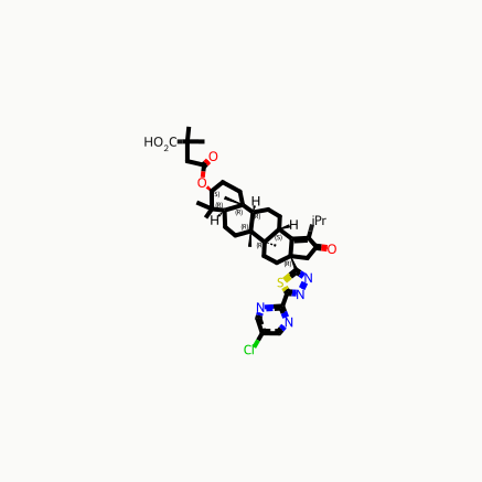 CC(C)C1=C2[C@H]3CC[C@@H]4[C@@]5(C)CC[C@H](OC(=O)CC(C)(C)C(=O)O)C(C)(C)[C@@H]5CC[C@@]4(C)[C@]3(C)CC[C@@]2(c2nnc(-c3ncc(Cl)cn3)s2)CC1=O